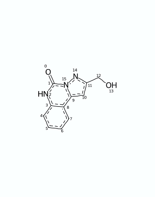 O=c1[nH]c2ccccc2c2cc(CO)nn12